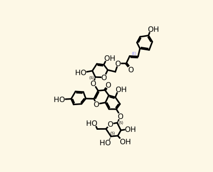 O=C(/C=C/c1ccc(O)cc1)OCC1O[C@@H](Oc2c(-c3ccc(O)cc3)oc3cc(O[C@@H]4OC(CO)[C@@H](O)C(O)C4O)cc(O)c3c2=O)C(O)C=C1O